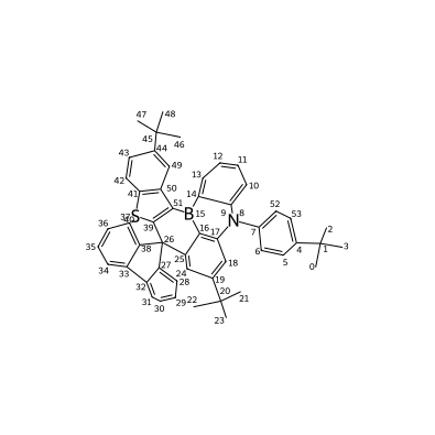 CC(C)(C)c1ccc(N2c3ccccc3B3c4c2cc(C(C)(C)C)cc4C2(c4ccccc4-c4ccccc42)c2sc4ccc(C(C)(C)C)cc4c23)cc1